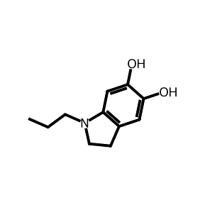 CCCN1CCc2cc(O)c(O)cc21